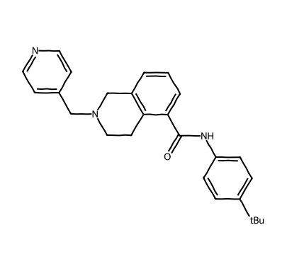 CC(C)(C)c1ccc(NC(=O)c2cccc3c2CCN(Cc2ccncc2)C3)cc1